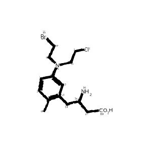 Cc1ccc(N(CCCl)CCBr)cc1CC(N)CC(=O)O